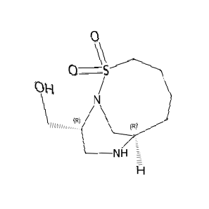 O=S1(=O)CCCC[C@@H]2CN1[C@@H](CO)CN2